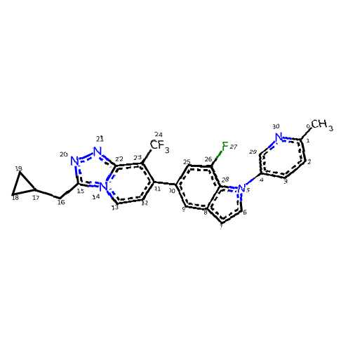 Cc1ccc(-n2ccc3cc(-c4ccn5c(CC6CC6)nnc5c4C(F)(F)F)cc(F)c32)cn1